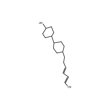 CCCC1CCC(C2CCC(CCC=CC=CC#N)CC2)CC1